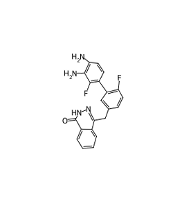 Nc1ccc(-c2cc(Cc3n[nH]c(=O)c4ccccc34)ccc2F)c(F)c1N